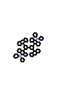 c1ccc(N(c2ccccc2)c2c3ccccc3c(-c3cc(-c4cc(-c5c6ccccc6cc6ccccc56)cc(-c5c6ccccc6c(N(c6ccccc6)c6ccccc6)c6ccccc56)c4)cc(-c4c5ccccc5cc5ccccc45)c3)c3ccccc23)cc1